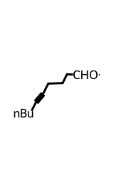 CCCCC#CCCC[C]=O